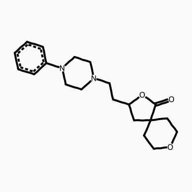 O=C1OC(CCN2CCN(c3ccccc3)CC2)CC12CCOCC2